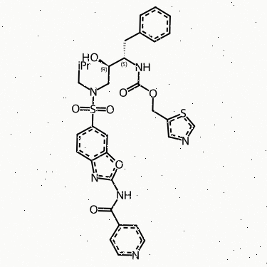 CC(C)CN(C[C@@H](O)[C@H](Cc1ccccc1)NC(=O)OCc1cncs1)S(=O)(=O)c1ccc2nc(NC(=O)c3ccncc3)oc2c1